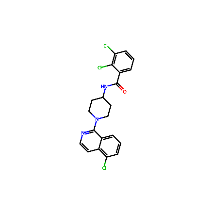 O=C(NC1CCN(c2nccc3c(Cl)cccc23)CC1)c1cccc(Cl)c1Cl